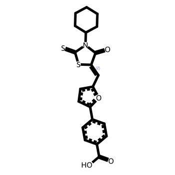 O=C(O)c1ccc(-c2ccc(/C=C3\SC(=S)N(C4CCCCC4)C3=O)o2)cc1